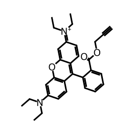 C#CCOC(=O)c1ccccc1-c1c2ccc(=[N+](CC)CC)cc-2oc2cc(N(CC)CC)ccc12